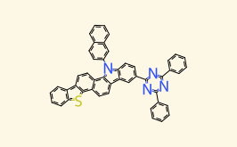 c1ccc(-c2nc(-c3ccccc3)nc(-c3ccc4c(c3)c3ccc5c(ccc6c7ccccc7sc65)c3n4-c3ccc4ccccc4c3)n2)cc1